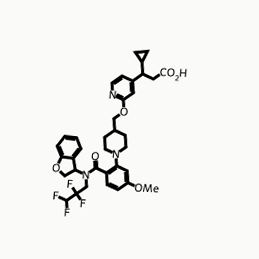 COc1ccc(C(=O)N(CC(F)(F)C(F)F)C2COc3ccccc32)c(N2CCC(COc3cc(C(CC(=O)O)C4CC4)ccn3)CC2)c1